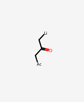 [Li][CH2]C(=O)CC(C)=O